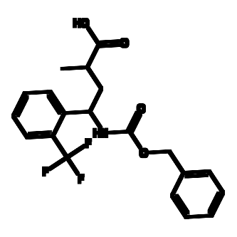 CC(CC(NC(=O)OCc1ccccc1)c1ccccc1C(F)(F)F)C(=O)O